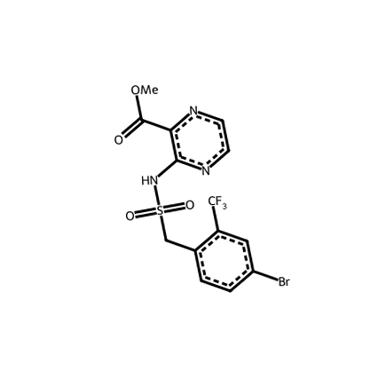 COC(=O)c1nccnc1NS(=O)(=O)Cc1ccc(Br)cc1C(F)(F)F